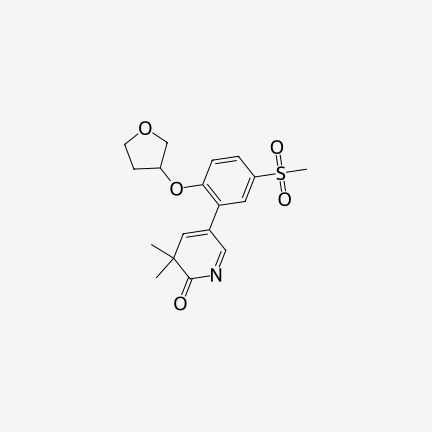 CC1(C)C=C(c2cc(S(C)(=O)=O)ccc2OC2CCOC2)C=NC1=O